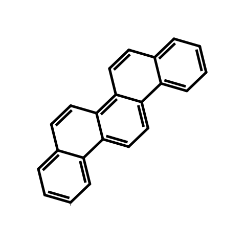 [c]1ccc2ccc3c(ccc4c5ccccc5ccc43)c2c1